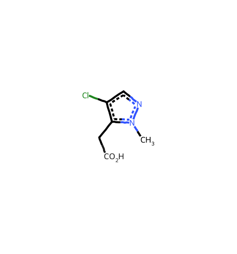 Cn1ncc(Cl)c1CC(=O)O